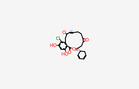 O=C1/C=C/CCC2OC2C[C@H](C2C=CC=CC2)OC(=O)c2c(O)cc(O)c(Cl)c2C1